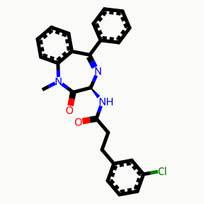 CN1C(=O)[C@H](NC(=O)CCc2cccc(Cl)c2)N=C(c2ccccc2)c2ccccc21